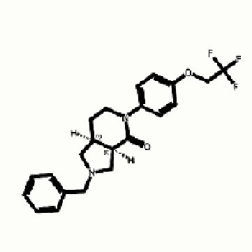 O=C1[C@H]2CN(Cc3ccccc3)C[C@H]2CCN1c1ccc(OCC(F)(F)F)cc1